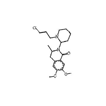 COc1cc2c(cc1OC)C(=O)N(C1CCCCN1CCCCl)C(C)C2